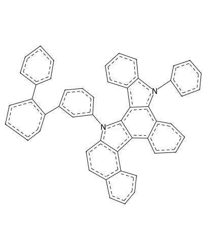 c1ccc(-c2ccccc2-c2cccc(-n3c4ccc5ccccc5c4c4c5ccccc5c5c(c6ccccc6n5-c5ccccc5)c43)c2)cc1